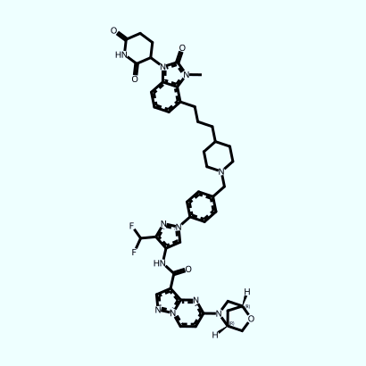 Cn1c(=O)n(C2CCC(=O)NC2=O)c2cccc(CCCC3CCN(Cc4ccc(-n5cc(NC(=O)c6cnn7ccc(N8C[C@H]9C[C@@H]8CO9)nc67)c(C(F)F)n5)cc4)CC3)c21